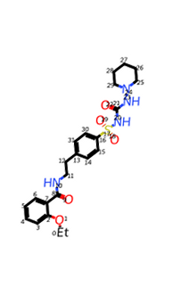 CCOc1ccccc1C(=O)NCCc1ccc(S(=O)(=O)NC(=O)NN2CCCCC2)cc1